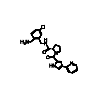 NCc1ccc(Cl)cc1CNC(=O)[C@@H]1CCCN1C(=O)c1cc(-c2ccccn2)c[nH]1